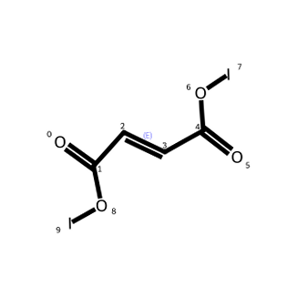 O=C(/C=C/C(=O)OI)OI